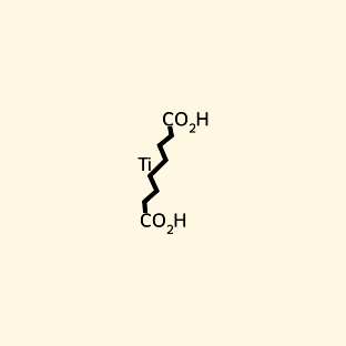 O=C(O)CCCCCCC(=O)O.[Ti]